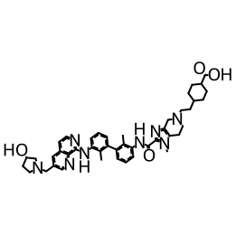 Cc1c(NC(=O)c2nc3c(n2C)CCN(CCC2CCC(C(=O)O)CC2)C3)cccc1-c1cccc(Nc2nccc3cc(CN4CCC(O)C4)cnc23)c1C